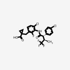 C[C@H]([C@H](C(=O)Nc1c(Cl)ccc(CC2(C(=O)O)CC2)c1F)c1ccc(Cl)cc1)C(F)(F)F